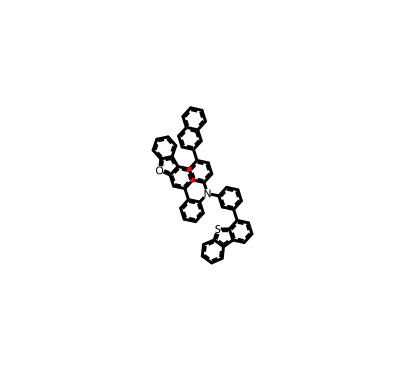 c1cc(-c2cccc3c2sc2ccccc23)cc(N(c2ccc(-c3ccc4ccccc4c3)cc2)c2ccccc2-c2ccc3c(c2)oc2ccccc23)c1